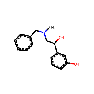 CN(Cc1ccccc1)CC(O)c1cccc(O)c1